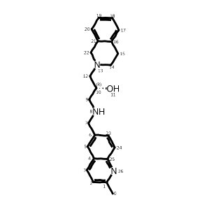 Cc1ccc2cc(CNC[C@@H](O)CN3CCc4ccccc4C3)ccc2n1